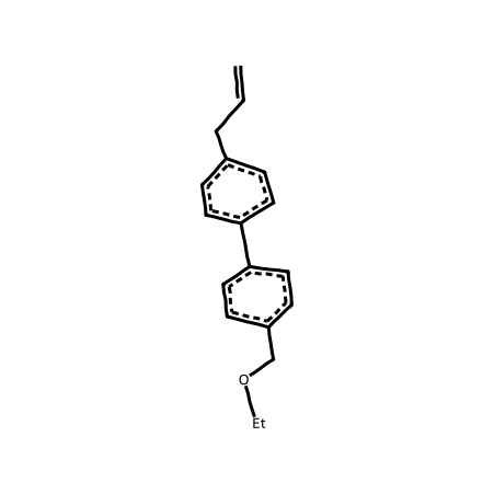 C=CCc1ccc(-c2ccc(COCC)cc2)cc1